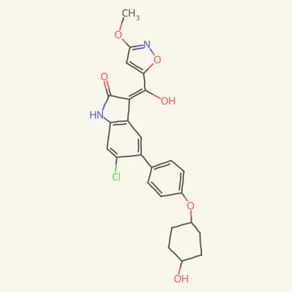 COc1cc(C(O)=C2C(=O)Nc3cc(Cl)c(-c4ccc(OC5CCC(O)CC5)cc4)cc32)on1